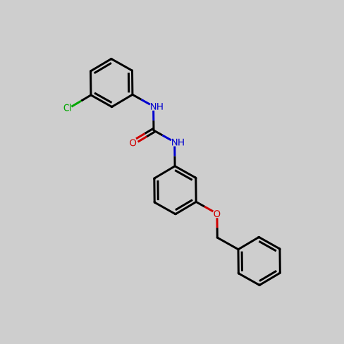 O=C(Nc1cccc(Cl)c1)Nc1cccc(OCc2ccccc2)c1